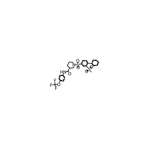 CS(=O)(=O)c1cc(S(=O)(=O)N2CCCC(C(=O)Nc3ccc(OC(F)(F)F)cc3)C2)ccc1-c1ccccc1